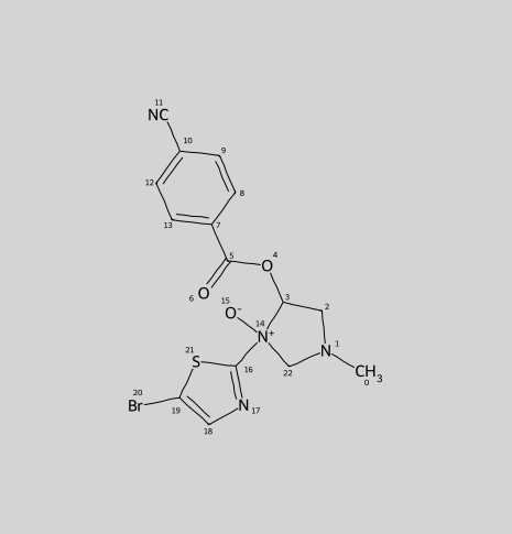 CN1CC(OC(=O)c2ccc(C#N)cc2)[N+]([O-])(c2ncc(Br)s2)C1